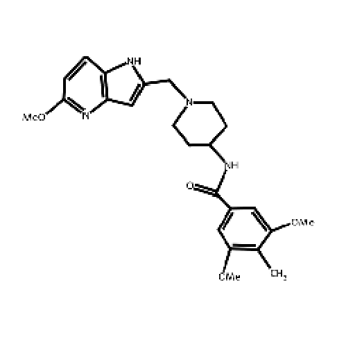 COc1ccc2[nH]c(CN3CCC(NC(=O)c4cc(OC)c(C)c(OC)c4)CC3)cc2n1